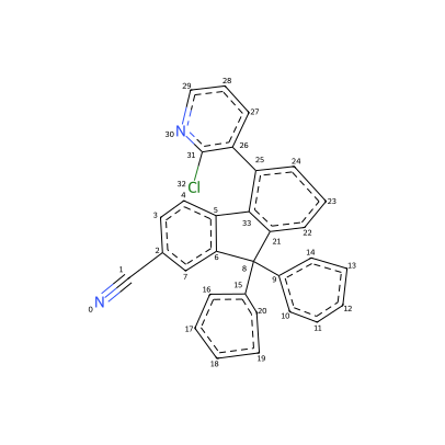 N#Cc1ccc2c(c1)C(c1ccccc1)(c1ccccc1)c1cccc(-c3cccnc3Cl)c1-2